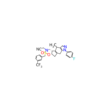 C[C@@H]1C2=C(CC[C@@H]2CN(CC#N)S(=O)(=O)Cc2cccc(C(F)(F)F)c2)Cc2c1cnn2-c1ccc(F)cc1